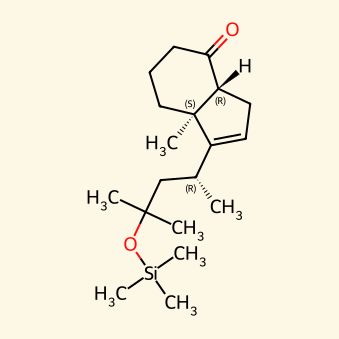 C[C@H](CC(C)(C)O[Si](C)(C)C)C1=CC[C@H]2C(=O)CCC[C@]12C